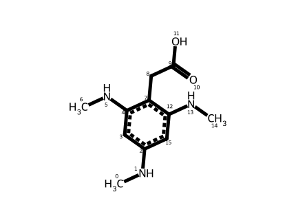 CNc1cc(NC)c(CC(=O)O)c(NC)c1